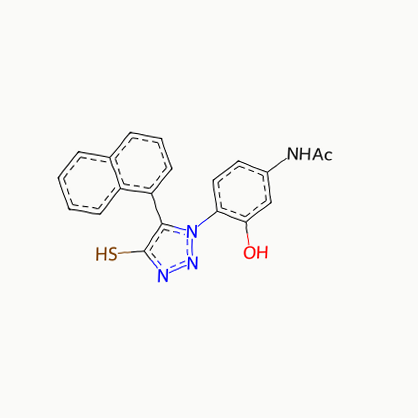 CC(=O)Nc1ccc(-n2nnc(S)c2-c2cccc3ccccc23)c(O)c1